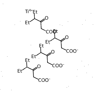 CCC(CC)C(=O)CC(=O)[O-].CCC(CC)C(=O)CC(=O)[O-].CCC(CC)C(=O)CC(=O)[O-].CCC(CC)C(=O)CC(=O)[O-].[Ti+4]